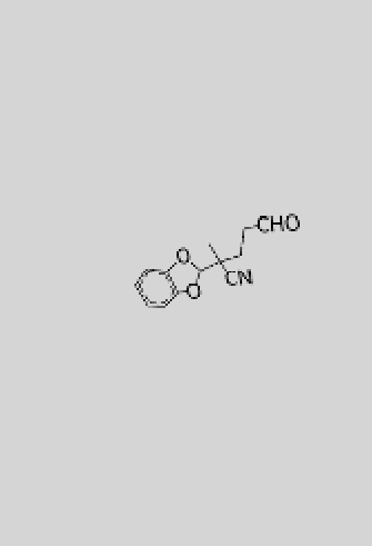 CC(C#N)(CCC=O)C1Oc2ccccc2O1